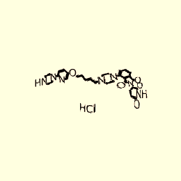 Cl.O=C1CCC(N2C(=O)c3cccc(N4CCN(CCCCCOc5ccc(N6CCNCC6)nc5)CC4)c3C2=O)C(=O)N1